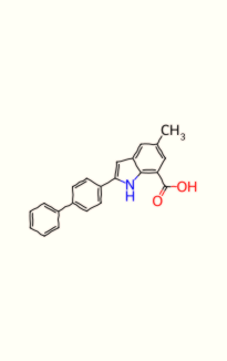 Cc1cc(C(=O)O)c2[nH]c(-c3ccc(-c4ccccc4)cc3)cc2c1